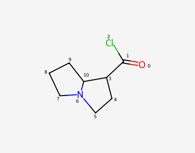 O=C(Cl)C1CCN2CCCC12